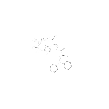 C=C(ON=C(C(=O)OC)c1csc(NC(=O)OC(C)(C)C)n1)C(=O)OC(c1ccccc1)c1ccccc1